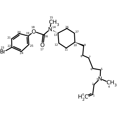 C=CCN(C)CCCCC[C@H]1CC[C@H](N(C)C(=O)Oc2ccc(Br)cc2)CC1